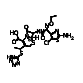 CCON=C(C(=O)NC1C(=O)N2C(C(=O)O)=C(C(C)Sc3nnn[nH]3)CS[C@@H]12)c1nc(N)sc1Cl